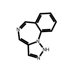 C1=NC=C2C=NNN2c2ccccc21